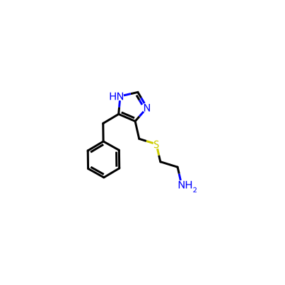 NCCSCc1nc[nH]c1Cc1ccccc1